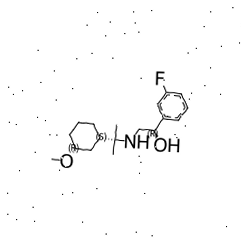 CO[C@@H]1CCC[C@H](C(C)(C)NC[C@H](O)c2cccc(F)c2)C1